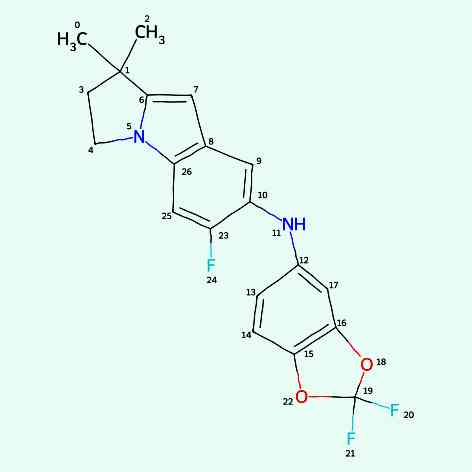 CC1(C)CCn2c1cc1cc(Nc3ccc4c(c3)OC(F)(F)O4)c(F)cc12